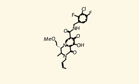 C/C=C\CN1C(=O)c2c(O)c(=O)c(C(=O)NCc3ccc(F)c(Cl)c3F)cn2[C@@H](CCOC)C1C